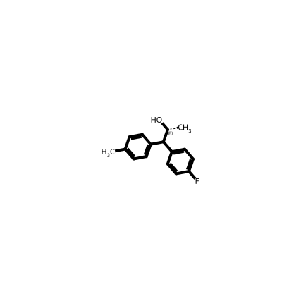 Cc1ccc(C(c2ccc(F)cc2)[C@@H](C)O)cc1